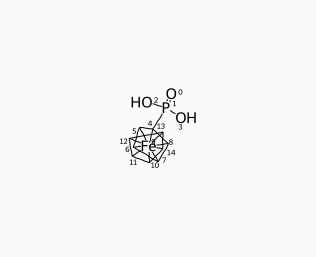 O=P(O)(O)[C]12[CH]3[CH]4[CH]5[CH]1[Fe]45321678[CH]2[CH]1[CH]6[CH]7[CH]28